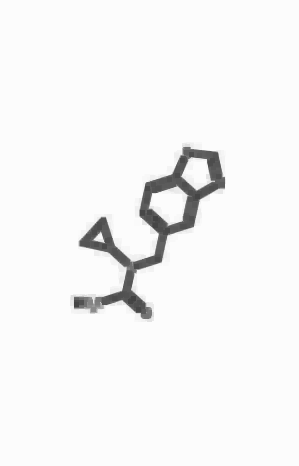 O=C(O)C(=O)N(Cc1ccc2scnc2c1)C1CC1